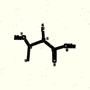 COC(=O)N(F)C(C)OC